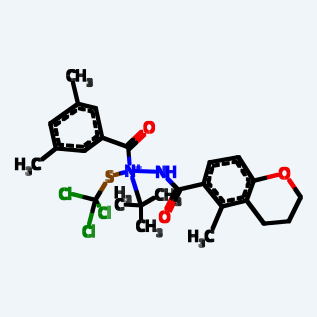 Cc1cc(C)cc(C(=O)[N+](NC(=O)c2ccc3c(c2C)CCCO3)(SC(Cl)(Cl)Cl)C(C)(C)C)c1